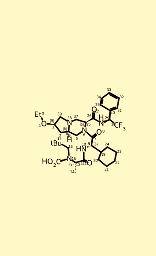 CCO[C@@H]1C[C@@H]2CN(C(=O)[C@@H](NC(=O)[C@H](C)N(CC(C)(C)C)C(=O)O)C3CCCCC3)[C@H](C(=O)NC(c3ccccc3)C(F)(F)F)CN2C1